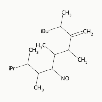 C=C(C(C)C(C)CC)C(C)C(C)C(N=O)C(C)C(C)C(C)C